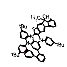 CC(C)(C)c1ccc(N2c3ccc(C(C)(C)C)cc3N3c4sc5cc6c(cc5c4N(c4ccc(C(C)(C)C)cc4)c4cc(-c5ccccc5-c5ccccc5)cc2c43)-c2ccccc2C6(C)C)cc1